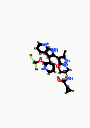 Cc1nn2c(c1-c1[nH]c3ncccc3c1-c1cccnc1OC(F)F)OC[C@@H](NC(=O)C1CC1)C2